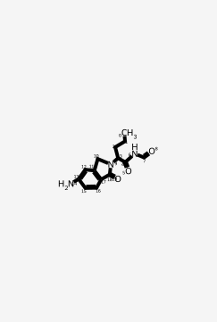 CCCC(C(=O)NC=O)N1Cc2cc(N)ccc2C1=O